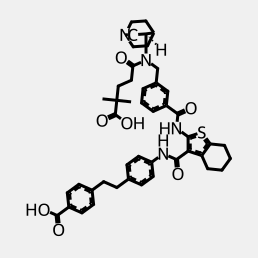 CC(C)(CCC(=O)N(Cc1cccc(C(=O)Nc2sc3c(c2C(=O)Nc2ccc(CCc4ccc(C(=O)O)cc4)cc2)CCCC3)c1)[C@H]1CN2CCC1CC2)C(=O)O